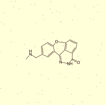 CNCc1ccc2c(c1)-c1n[nH]c(=O)c3cccc(c13)O2